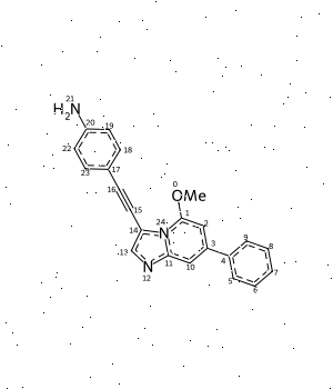 COc1cc(-c2ccccc2)cc2ncc(C#Cc3ccc(N)cc3)n12